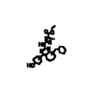 CCOC(=O)c1sc(Nc2nc(N3CCC(O)CC3)c3c(n2)N(CC2CCCCC2)CCCC3)nc1C